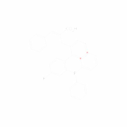 O=C(O)/C(=C/c1ccccc1)Cc1ccccc1-c1ccc(F)cc1P(c1ccccc1)c1ccccc1